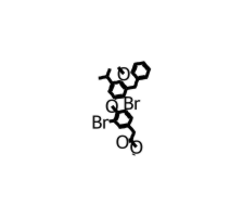 COC(=O)Cc1cc(Br)c(Oc2cc(Cc3ccccc3)c(OC)c(C(C)C)c2)c(Br)c1